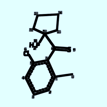 Cc1cccc(Cl)c1C(=S)C1(P)CCCC1